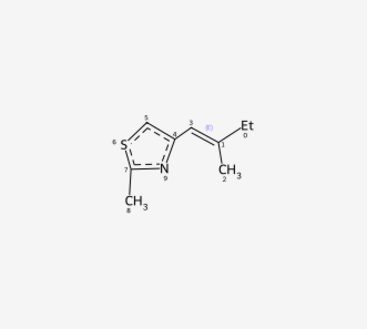 CC/C(C)=C/c1csc(C)n1